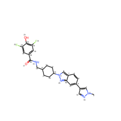 Cn1cc(-c2ccc3cn(C4CCC(CNC(=O)c5cc(F)c(O)c(F)c5)CC4)nc3c2)cn1